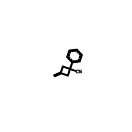 C=C1CC(C#N)(c2ccccc2)C1